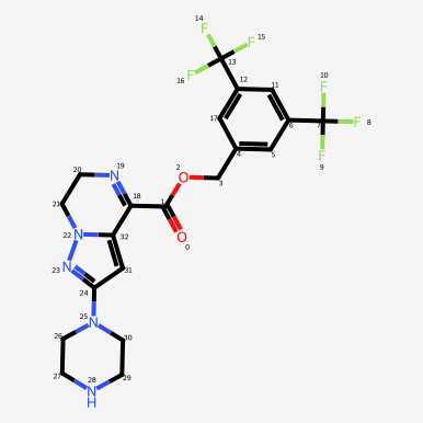 O=C(OCc1cc(C(F)(F)F)cc(C(F)(F)F)c1)C1=NCCn2nc(N3CCNCC3)cc21